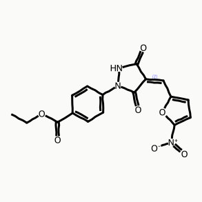 CCOC(=O)c1ccc(N2NC(=O)/C(=C/c3ccc([N+](=O)[O-])o3)C2=O)cc1